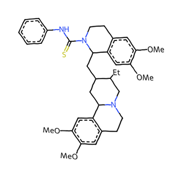 CCC1CN2CCc3cc(OC)c(OC)cc3C2CC1CC1c2cc(OC)c(OC)cc2CCN1C(=S)Nc1ccccc1